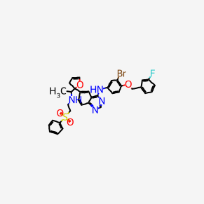 CC(NCCS(=O)(=O)c1ccccc1)C1(c2ccc3ncnc(Nc4ccc(OCc5cccc(F)c5)c(Br)c4)c3c2)CC=CO1